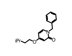 CC(C)CCOc1ccn(Cc2ccccc2)c(=O)c1